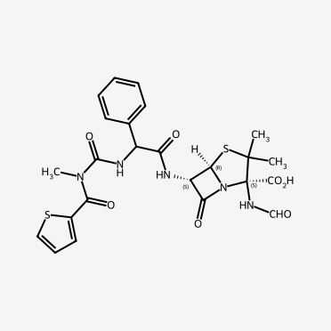 CN(C(=O)NC(C(=O)N[C@H]1C(=O)N2[C@@H]1SC(C)(C)[C@]2(NC=O)C(=O)O)c1ccccc1)C(=O)c1cccs1